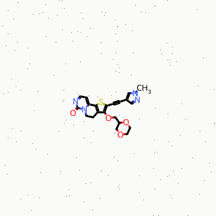 Cn1cc(C#Cc2sc3c(c2OCC2COCCO2)CCn2c-3ccnc2=O)cn1